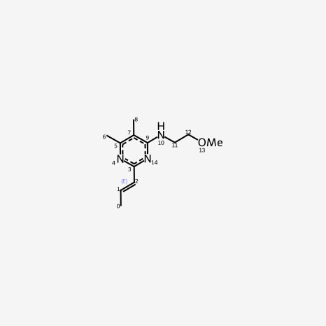 C/C=C/c1nc(C)c(C)c(NCCOC)n1